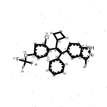 Fc1n[nH]c2ccc(/C(=C(/c3ccc(OC(F)(F)F)cc3Cl)C3CCC3)c3[c]cccc3)cc12